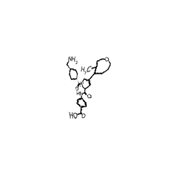 CC1CCOCCCC1C1CC(C(=O)Nc2ccc(C(=O)O)cc2)N(C(=O)[C@H]2CC[C@H](CN)CC2)C1